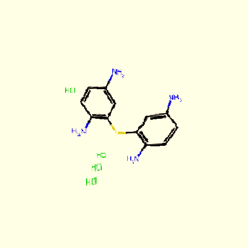 Cl.Cl.Cl.Cl.Nc1ccc(N)c(Sc2cc(N)ccc2N)c1